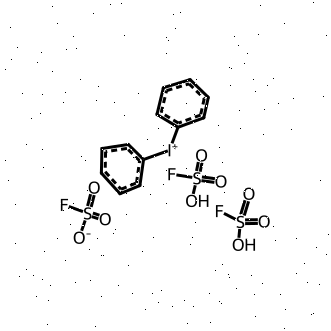 O=S(=O)(O)F.O=S(=O)(O)F.O=S(=O)([O-])F.c1ccc([I+]c2ccccc2)cc1